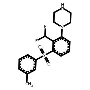 Cc1cccc(S(=O)(=O)c2cccc(N3CCNCC3)c2C(F)F)c1